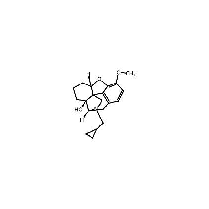 COc1ccc2c3c1O[C@H]1CCC[C@@]4(O)[C@@H](C2)N(CC2CC2)CCC314